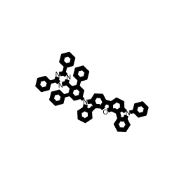 c1ccc(-c2nc(-c3ccccc3)nc(-c3c(-c4ccccc4)cc(-n4c5ccccc5c5c6oc7c(ccc8c7c7ccccc7n8-c7ccccc7)c6ccc54)cc3-c3ccccc3)n2)cc1